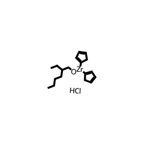 CCCCC(CC)C[O][Zr]([C]1=CC=CC1)[C]1=CC=CC1.Cl